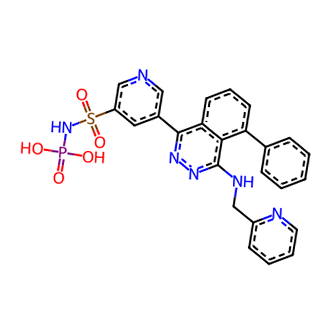 O=P(O)(O)NS(=O)(=O)c1cncc(-c2nnc(NCc3ccccn3)c3c(-c4ccccc4)cccc23)c1